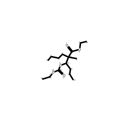 CCCCC(C)(C(=O)OCC)C(CCC)OC(=O)OCC